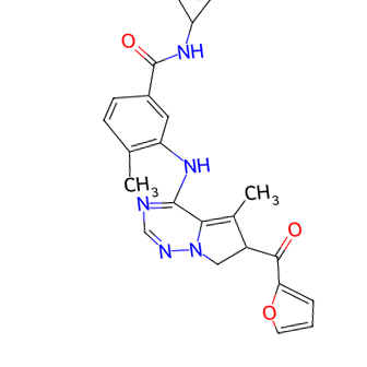 CC1=C2C(Nc3cc(C(=O)NC4CC4)ccc3C)=NC=NN2CC1C(=O)c1ccco1